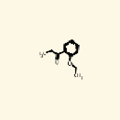 C[CH]C(=O)c1ccccc1OCC